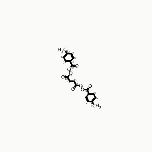 Cc1ccc(C(=O)OOC(=O)CCC(=O)OOC(=O)c2ccc(C)cc2)cc1